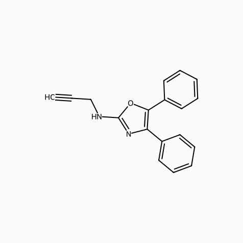 C#CCNc1nc(-c2ccccc2)c(-c2ccccc2)o1